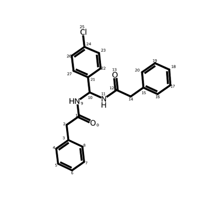 O=C(Cc1ccccc1)NC(NC(=O)Cc1ccccc1)c1ccc(Cl)cc1